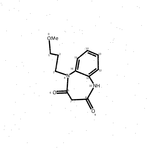 COCCCN1C(=O)CC(=O)Nc2ccccc21